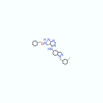 Nc1ncnc(Nc2ccc3c(cnn3Cc3cccc(F)c3)c2)c1C=NOCc1ccccc1